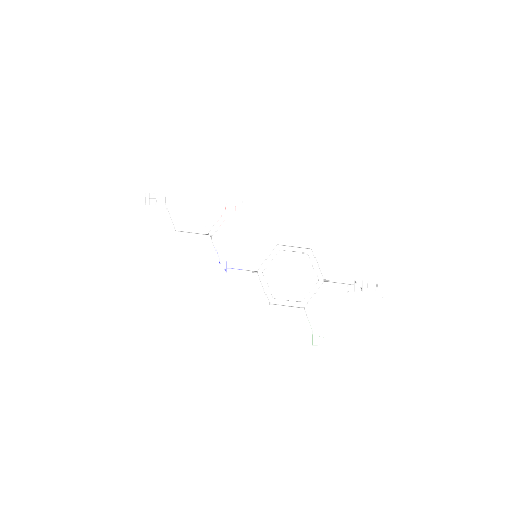 CCC(C)CC(=O)Nc1ccc([N+](=O)[O-])c(Br)c1